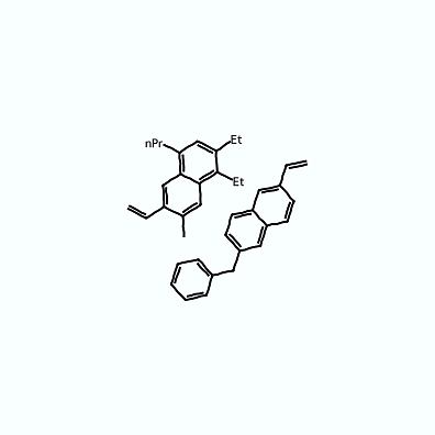 C=Cc1cc2c(CCC)cc(CC)c(CC)c2cc1C.C=Cc1ccc2cc(Cc3ccccc3)ccc2c1